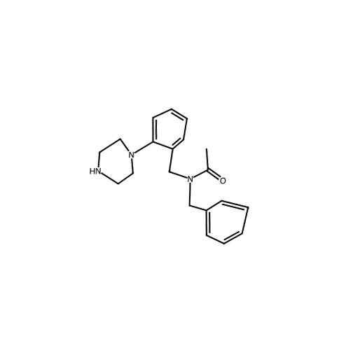 CC(=O)N(Cc1ccccc1)Cc1ccccc1N1CCNCC1